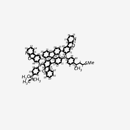 CSCC[C@@H](C)c1ccc(N(c2ccc3c(c2)C2(c4ccccc4-c4ccccc42)c2cc(N(c4ccc([Si](C)(C)C)cc4)c4ccc5c(c4)oc4ncccc45)c4oc5ccccc5c4c2-3)c2ccc3c(c2)oc2ncccc23)cc1